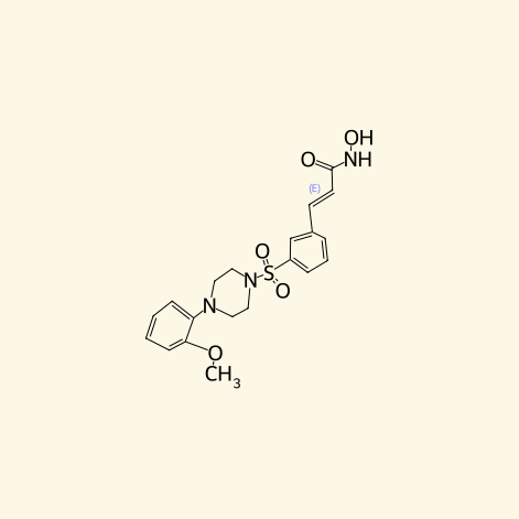 COc1ccccc1N1CCN(S(=O)(=O)c2cccc(/C=C/C(=O)NO)c2)CC1